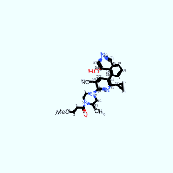 COCCC(=O)N1CCN(c2nc(C3CC3)c(-c3cccc4cncc(O)c34)cc2C#N)CC1C